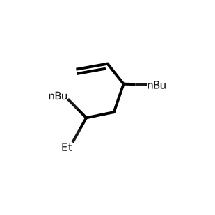 C=CC(CCCC)CC(CC)CCCC